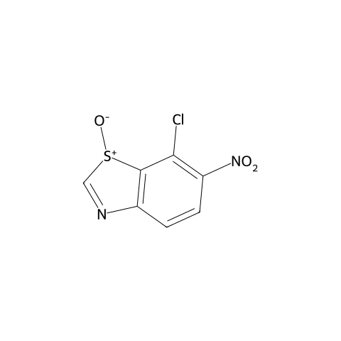 O=[N+]([O-])c1ccc2nc[s+]([O-])c2c1Cl